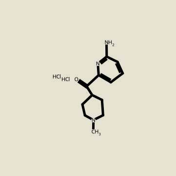 CN1CCC(C(=O)c2cccc(N)n2)CC1.Cl.Cl